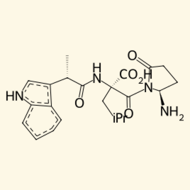 CC(C)C[C@](NC(=O)[C@@H](C)c1c[nH]c2ccccc12)(C(=O)O)C(=O)N1C(=O)CC[C@H]1N